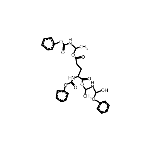 CC(NC(=O)Oc1ccccc1)OC(=O)CCC(NC(=O)Oc1ccccc1)C(=O)OC(C)NC(O)Oc1ccccc1